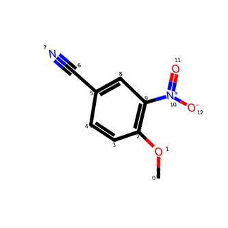 COc1c[c]c(C#N)cc1[N+](=O)[O-]